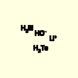 [BiH3].[Li+].[OH-].[TeH2]